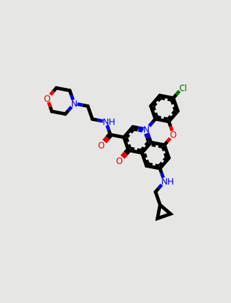 O=C(NCCN1CCOCC1)c1cn2c3c(cc(NCC4CC4)cc3c1=O)Oc1cc(Cl)ccc1-2